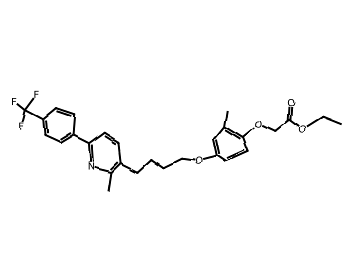 CCOC(=O)COc1ccc(OCCCCc2ccc(-c3ccc(C(F)(F)F)cc3)nc2C)cc1C